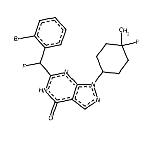 CC1(F)CCC(n2ncc3c(=O)[nH]c(C(F)c4ccccc4Br)nc32)CC1